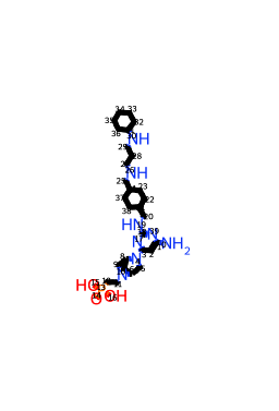 Nc1cc(N2CC3CC2CN3CCP(=O)(O)O)nc(NCC2CCC(CNCCCNC3CCCCC3)CC2)n1